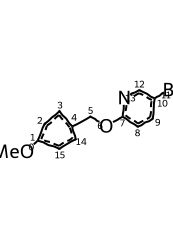 COc1ccc(COc2ccc(Br)cn2)cc1